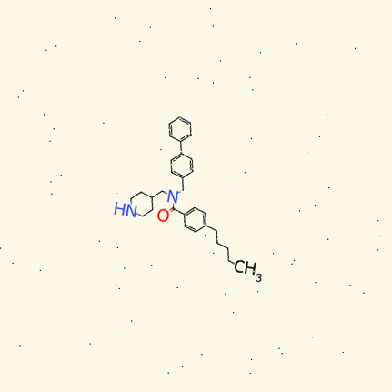 CCCCCc1ccc(C(=O)N(Cc2ccc(-c3ccccc3)cc2)CC2CCNCC2)cc1